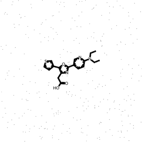 CCN(CC)c1ccc(-c2nc(CC(=O)O)c(-c3ccsc3)o2)cn1